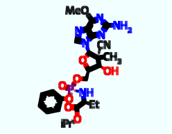 CC[C@H](N[P@](=O)(OC[C@H]1O[C@@H](n2cnc3c(OC)nc(N)nc32)[C@](C)(C#N)[C@@H]1O)Oc1ccccc1)C(=O)OC(C)C